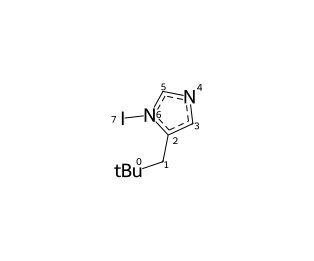 CC(C)(C)Cc1cncn1I